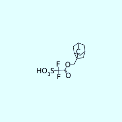 O=C(OCC12CC3CC(CC1C3)C2)C(F)(F)S(=O)(=O)O